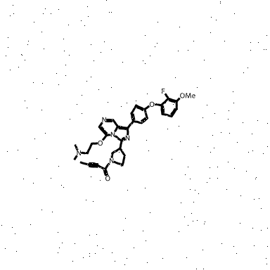 CC#CC(=O)N1CCC(c2nc(-c3ccc(Oc4cccc(OC)c4F)cc3)c3cncc(OCCN(C)C)n23)C1